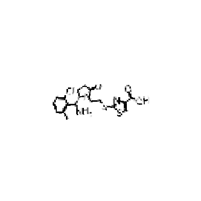 Cc1cccc(Cl)c1C(N)[C@H]1CCC(=O)N1CCSc1nc(C(=O)O)cs1